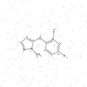 Cn1n[c]cc1Oc1ccc(F)cc1F